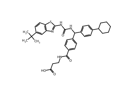 CC(C)(C)c1ccc2sc(NC(=O)NC(c3ccc(C(=O)NCCC(=O)O)cc3)c3ccc(C4CCCCC4)cc3)nc2c1